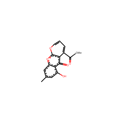 COC(=O)C1=CC=COc2oc3cc(C)cc(O)c3c(=O)c21